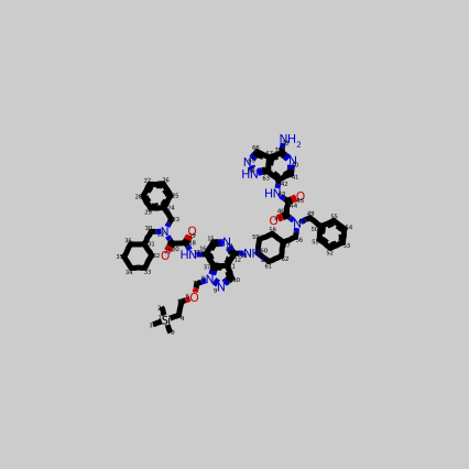 C[Si](C)(C)CCOCn1ncc2c(N)ncc(NC(=O)C(=O)N(Cc3ccccc3)CC3CCCCC3)c21.Nc1ncc(NC(=O)C(=O)N(Cc2ccccc2)CC2CCCCC2)c2[nH]ncc12